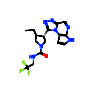 CCC1CN(C(=O)NCC(F)(F)F)C[C@H]1c1nnc2cnc3[nH]ccc3n12